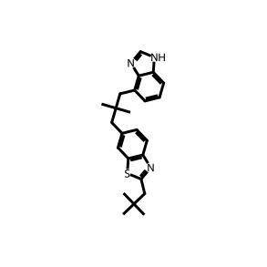 CC(C)(C)Cc1nc2ccc(CC(C)(C)Cc3cccc4[nH]cnc34)cc2s1